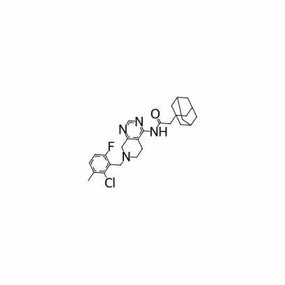 Cc1ccc(F)c(CN2CCc3c(ncnc3NC(=O)CC34CC5CC(CC(C5)C3)C4)C2)c1Cl